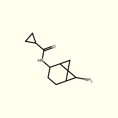 NC1C2CCC(NC(=O)C3CC3)C3CC132